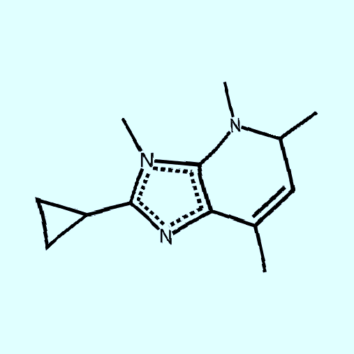 CC1=CC(C)N(C)c2c1nc(C1CC1)n2C